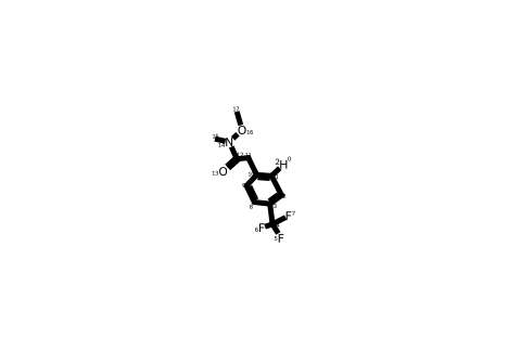 [2H]c1cc(C(F)(F)F)ccc1CC(=O)N(C)OC